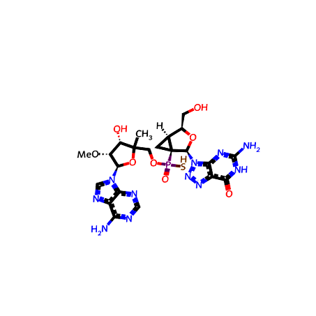 CO[C@H]1[C@H](n2cnc3c(N)ncnc32)OC(C)(COP(=O)(S)[C@@]23C[C@H]2[C@@H](CO)O[C@H]3n2nnc3c(=O)[nH]c(N)nc32)[C@H]1O